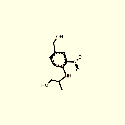 CC(CO)Nc1ccc(CO)cc1[N+](=O)[O-]